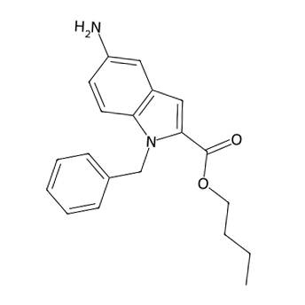 CCCCOC(=O)c1cc2cc(N)ccc2n1Cc1ccccc1